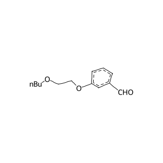 CCCCOCCOc1cccc(C=O)c1